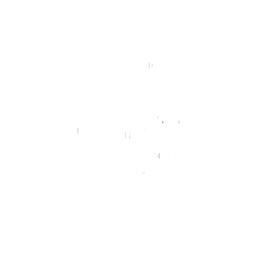 C=Cc1cc(C=C)nc(N(C)CC(=O)O)n1